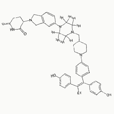 [2H]C1([2H])N(CC2CCN(c3ccc(C(=C(CC)c4ccc(O)cc4)c4ccc(O)cc4)cc3)CC2)C([2H])([2H])C([2H])([2H])N(c2ccc3c(c2)CN(C2CCC(=O)NC2=O)C3)C1([2H])[2H]